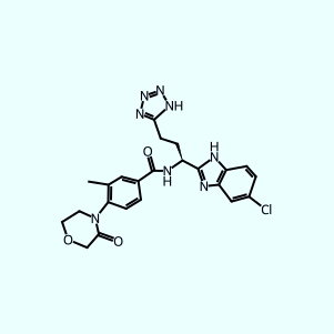 Cc1cc(C(=O)N[C@@H](CCc2nnn[nH]2)c2nc3cc(Cl)ccc3[nH]2)ccc1N1CCOCC1=O